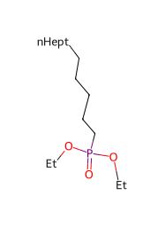 CCCCCCCCCCCCP(=O)(OCC)OCC